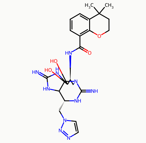 CC1(C)CCOc2c(C(=O)N[C@H]3CN4C(=N)N[C@H](Cn5ccnn5)C5NC(=N)NC54C3(O)O)cccc21